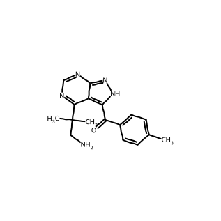 Cc1ccc(C(=O)c2[nH]nc3ncnc(C(C)(C)CN)c23)cc1